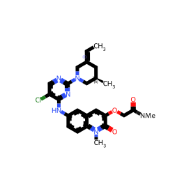 C/C=C1\C[C@@H](C)CN(c2ncc(Cl)c(Nc3ccc4c(c3)cc(OCC(=O)NC)c(=O)n4C)n2)C1